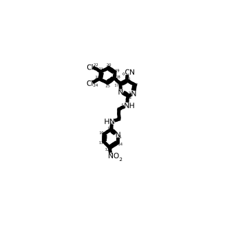 N#Cc1cnc(NCCNc2ccc([N+](=O)[O-])cn2)nc1-c1ccc(Cl)c(Cl)c1